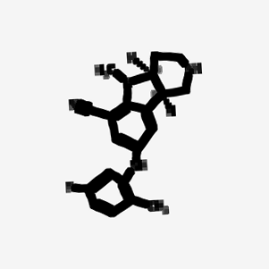 Cc1ccc(F)cc1Nc1cc(C#N)c2c(c1)[C@@H]1CNCC[C@@H]1N2C